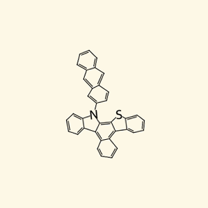 c1ccc2cc3cc(-n4c5ccccc5c5c6ccccc6c6c7ccccc7sc6c54)ccc3cc2c1